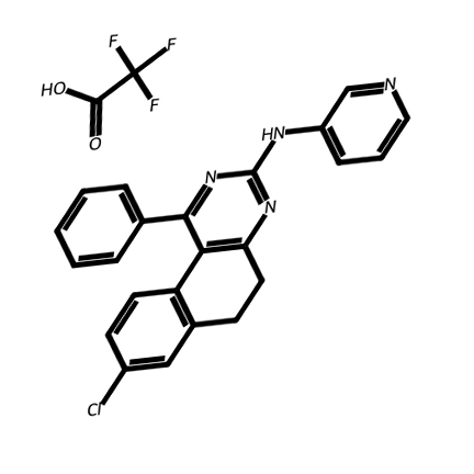 Clc1ccc2c(c1)CCc1nc(Nc3cccnc3)nc(-c3ccccc3)c1-2.O=C(O)C(F)(F)F